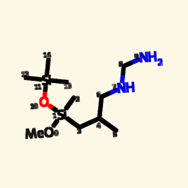 CO[Si](C)(CC(C)CNCN)O[Si](C)(C)C